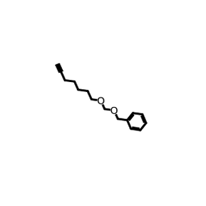 C#CCCCCCOCOCc1ccccc1